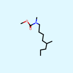 CCCC(C)CCCCN(C)C(=O)OC